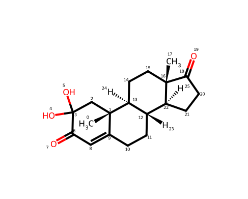 C[C@]12CC(O)(O)C(=O)C=C1CC[C@@H]1[C@@H]2CC[C@]2(C)C(=O)CC[C@@H]12